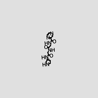 O=C(CNC(=O)c1cnccn1)NCC(=O)N[C@@H]1CCNC1